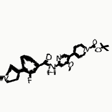 COc1cc(NC(=O)c2ccc(C3=CCNCC3)c(F)c2)ncc1C1=CCN(C(=O)OC(C)(C)C)CC1